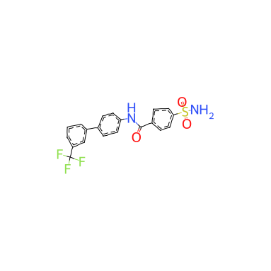 NS(=O)(=O)c1ccc(C(=O)Nc2ccc(-c3cccc(C(F)(F)F)c3)cc2)cc1